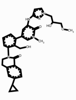 COCC(O)Cn1ccc(Nc2cc(-c3cccc(N4CCc5cc(C6CC6)ccc5C4=O)c3CO)cn(C)c2=O)n1